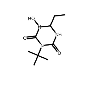 CCC1NC(=O)N(C(C)(C)C)C(=O)N1O